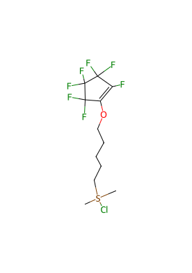 CS(C)(Cl)CCCCCOC1=C(F)C(F)(F)C(F)(F)C1(F)F